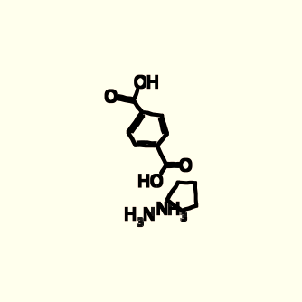 C1CCCC1.N.N.O=C(O)c1ccc(C(=O)O)cc1